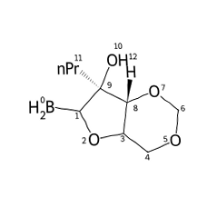 BC1OC2COCO[C@H]2[C@@]1(O)CCC